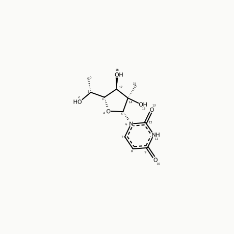 C[C@@H](O)[C@H]1O[C@@H](n2ccc(=O)[nH]c2=O)[C@](C)(O)[C@@H]1O